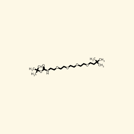 CC(C)(C)CCOCCOCCOCCOCCNC(=O)OC(C)(C)C